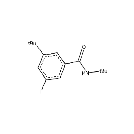 CC(C)(C)NC(=O)c1cc(I)cc(C(C)(C)C)c1